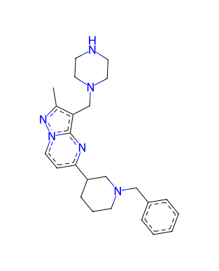 Cc1nn2ccc(C3CCCN(Cc4ccccc4)C3)nc2c1CN1CCNCC1